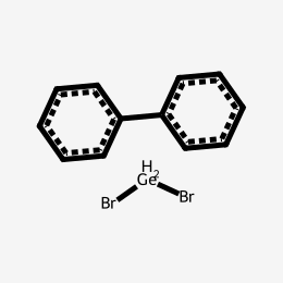 [Br][GeH2][Br].c1ccc(-c2ccccc2)cc1